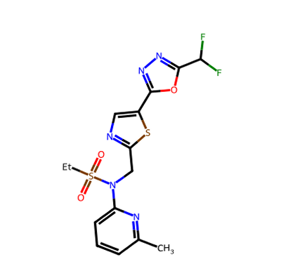 CCS(=O)(=O)N(Cc1ncc(-c2nnc(C(F)F)o2)s1)c1cccc(C)n1